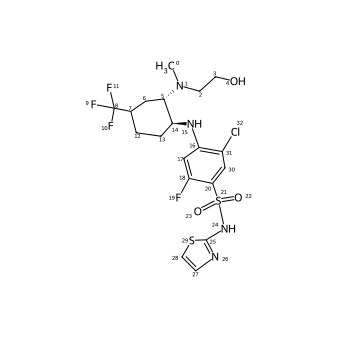 CN(CCO)[C@H]1CC(C(F)(F)F)CC[C@@H]1Nc1cc(F)c(S(=O)(=O)Nc2nccs2)cc1Cl